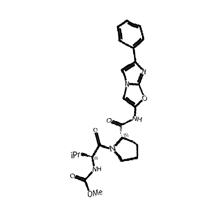 COC(=O)N[C@H](C(=O)N1CCC[C@H]1C(=O)Nc1cn2cc(-c3ccccc3)nc2o1)C(C)C